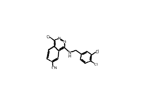 N#Cc1ccc2c(Cl)nnc(NCc3ccc(Cl)c(Cl)c3)c2c1